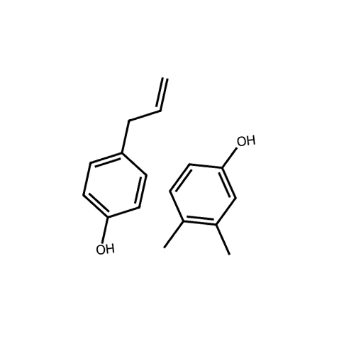 C=CCc1ccc(O)cc1.Cc1ccc(O)cc1C